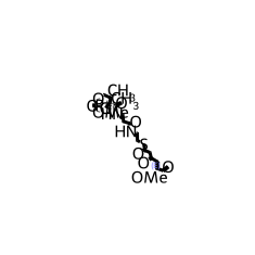 COC(=O)/C=C/C(=O)CC(=O)SCCNC(=O)CCNC(=O)[C@@H]1OP(=O)(OC)OCC1(C)C